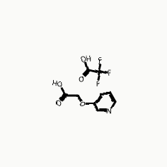 O=C(O)C(F)(F)F.O=C(O)COc1cccnc1